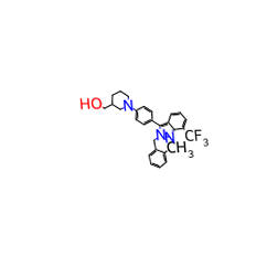 Cc1ccccc1Cn1nc2c(C(F)(F)F)cccc2c1-c1ccc(N2CCCC(CO)C2)cc1